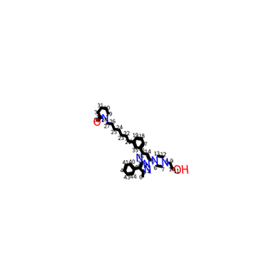 Cc1nn2c(N3CCN(CCO)CC3)cc(-c3cccc(CCCCCCCN4CCCCC4=O)c3)nc2c1-c1ccccc1